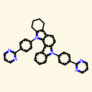 c1cnc(-c2ccc(-n3c4c(c5ccc6c(c7ccccc7n6-c6ccc(-c7ncccn7)cc6)c53)CCCC4)cc2)nc1